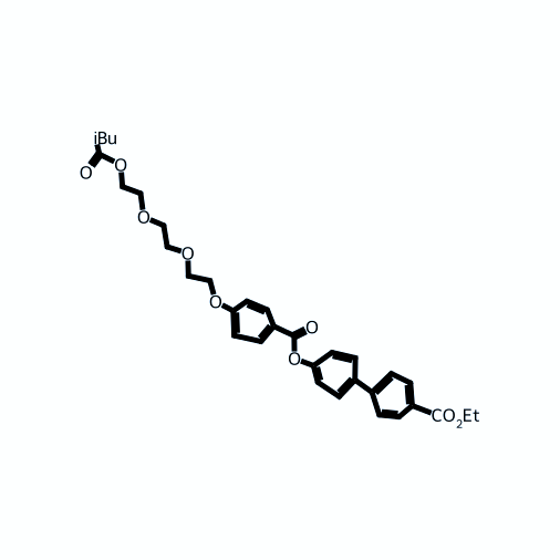 CCOC(=O)c1ccc(-c2ccc(OC(=O)c3ccc(OCCOCCOCCOC(=O)C(C)CC)cc3)cc2)cc1